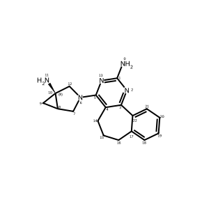 Nc1nc2c(c(N3CC4C[C@]4(N)C3)n1)CCCc1ccccc1-2